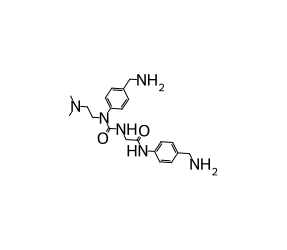 CN(C)CCN(C(=O)NCC(=O)Nc1ccc(CN)cc1)c1ccc(CN)cc1